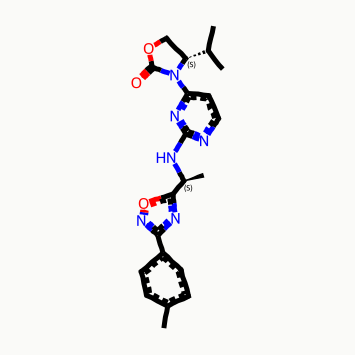 Cc1ccc(-c2noc([C@H](C)Nc3nccc(N4C(=O)OC[C@@H]4C(C)C)n3)n2)cc1